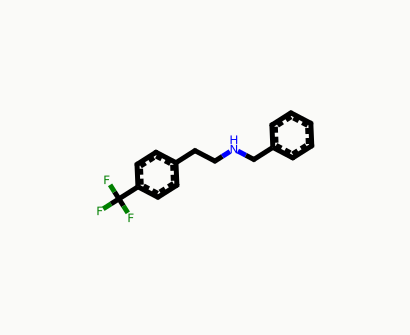 FC(F)(F)c1ccc(CCNCc2ccccc2)cc1